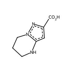 O=C(O)c1cc2n(n1)CCCN2